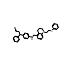 O=CCC(c1ccccc1)c1ccc(NCc2cccc3c2CCCN3CCOc2ccccc2)cc1